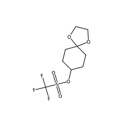 O=S(=O)(OC1CCC2(CC1)OCCO2)C(F)(F)F